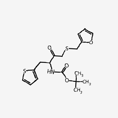 CC(C)(C)OC(=O)NC(Cc1cccs1)C(=O)CSCc1ccco1